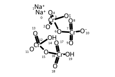 [Na+].[Na+].[O]=[Cr](=[O])([O-])[O][Cr](=[O])(=[O])[O-].[O]=[Cr](=[O])([OH])[O][Cr](=[O])(=[O])[OH]